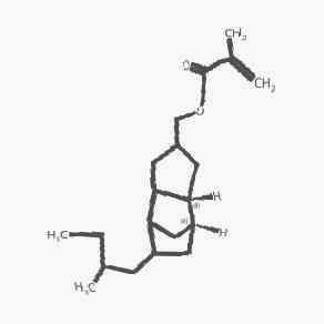 C=C(C)C(=O)OCC1CC2C3C[C@@H](CC3CC(C)CC)[C@H]2C1